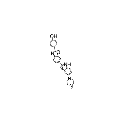 CN1CCN(c2ccc3[nH]c(-c4ccc5nc(-c6ccc(O)cc6)oc5c4)nc3c2)CC1